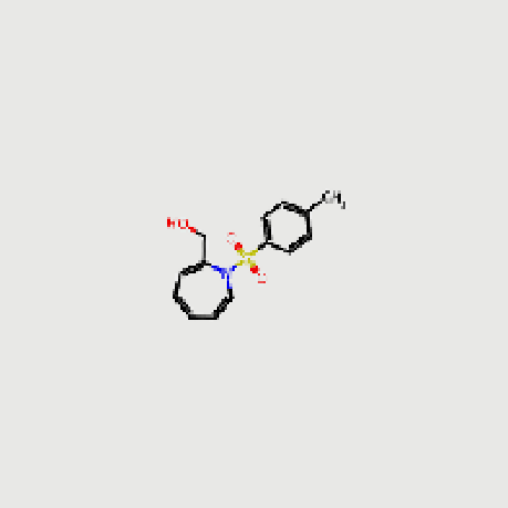 Cc1ccc(S(=O)(=O)N2C=CC=CC=C2CO)cc1